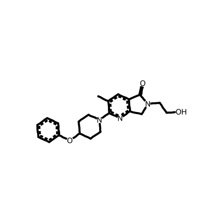 Cc1cc2c(nc1N1CCC(Oc3ccccc3)CC1)CN(CCO)C2=O